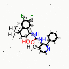 Cc1ccnc(-c2ccccc2)c1NC(=O)NC1c2cc(F)c(F)cc2C(C)(C)C[C@H]1O